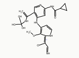 C=C(NC(O)(O)O)c1cnc(NC(=O)C2CC2)cc1NC1=C(OC)/C(=C(\Cl)C=N)NC=C1